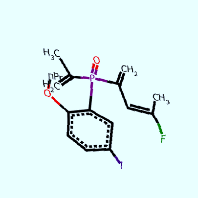 C=C(C)P(=O)(C(=C)/C=C(\C)F)c1cc(I)ccc1OCCC